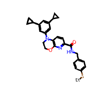 CCSc1ccc(CNC(=O)c2ccc3c(n2)OCCN3c2cc(C3CC3)cc(C3CC3)c2)cc1